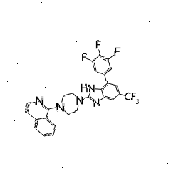 Fc1cc(-c2cc(C(F)(F)F)cc3nc(N4CCN(c5nccc6ccccc56)CC4)[nH]c23)cc(F)c1F